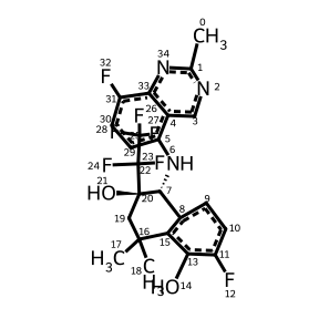 Cc1ncc2c(N[C@@H]3c4ccc(F)c(O)c4C(C)(C)C[C@]3(O)C(F)(F)C(F)(F)F)ccc(F)c2n1